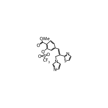 COC(=O)c1ccc(/C=C(\Cn2ccnc2)c2nccs2)cc1OS(=O)(=O)C(F)(F)F